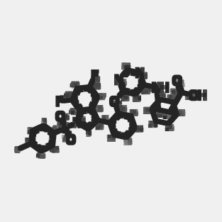 Cc1ccc(S(=O)(=O)n2cc(-c3ccccc3Oc3cc(NC4C5CCC(CC5)C4C(=O)O)ncn3)c3cc(F)cc(F)c32)cc1